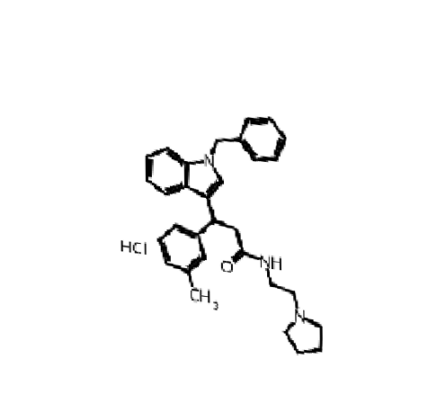 Cc1cccc(C(CC(=O)NCCN2CCCC2)c2cn(Cc3ccccc3)c3ccccc23)c1.Cl